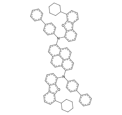 c1ccc(-c2ccc(N(c3ccc4ccc5c(N(c6ccc(-c7ccccc7)cc6)c6cccc7c6oc6c(C8CCCCC8)cccc67)ccc6ccc3c4c65)c3cccc4c3oc3c(C5CCCCC5)cccc34)cc2)cc1